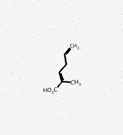 C=CCC=C(C)C(=O)O